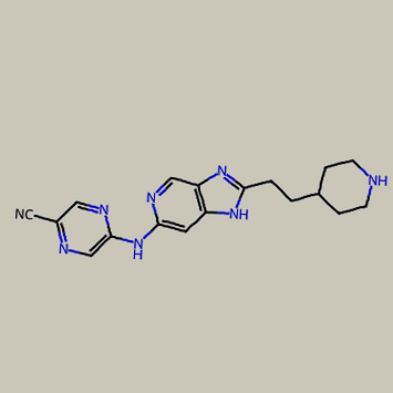 N#Cc1cnc(Nc2cc3[nH]c(CCC4CCNCC4)nc3cn2)cn1